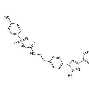 CCc1nc(-c2ccccc2)cn1-c1ccc(CCNC(=O)NS(=O)(=O)c2ccc(C#N)cc2)cc1